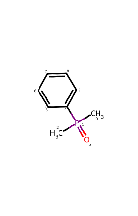 CP(C)(=O)c1[c]cccc1